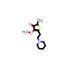 COC1=C(CCN2CCCCC2)SC(C)C1=O